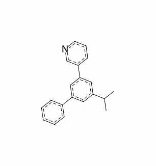 CC(C)c1cc(-c2ccccc2)cc(-c2cccnc2)c1